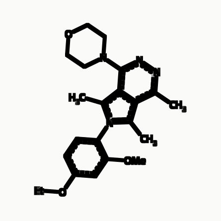 CCOc1ccc(-n2c(C)c3c(C)nnc(N4CCOCC4)c3c2C)c(OC)c1